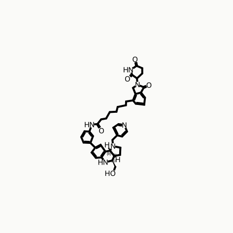 O=C1CCC(N2Cc3c(CCCCCCCC(=O)Nc4cccc(-c5ccc6c(c5)[C@H]5[C@H](CCN5Cc5ccncc5)[C@@H](CO)N6)c4)cccc3C2=O)C(=O)N1